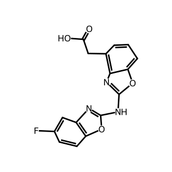 O=C(O)Cc1cccc2oc(Nc3nc4cc(F)ccc4o3)nc12